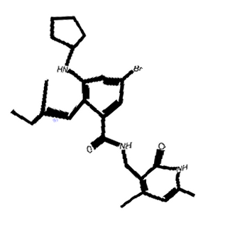 CC/C(C)=C/c1c(NC2CCCC2)cc(Br)cc1C(=O)NCc1c(C)cc(C)[nH]c1=O